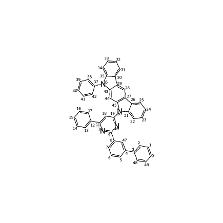 c1ccc(-c2cccc(-c3nc(-c4ccccc4)cc(-n4c5ccccc5c5cc6c7ccccc7n(-c7ccccc7)c6cc54)n3)c2)cc1